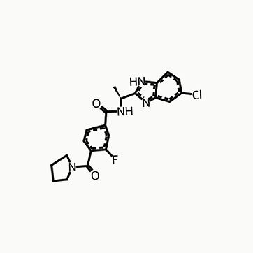 C[C@H](NC(=O)c1ccc(C(=O)N2CCCC2)c(F)c1)c1nc2cc(Cl)ccc2[nH]1